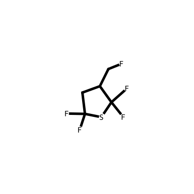 FCC1CC(F)(F)SC1(F)F